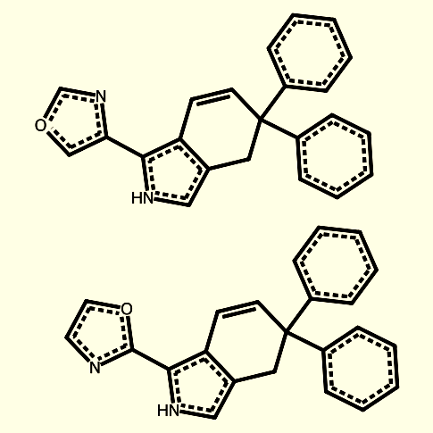 C1=CC(c2ccccc2)(c2ccccc2)Cc2c[nH]c(-c3cocn3)c21.C1=CC(c2ccccc2)(c2ccccc2)Cc2c[nH]c(-c3ncco3)c21